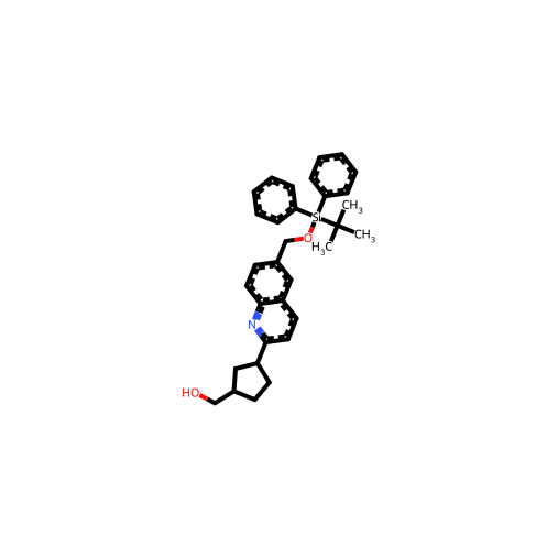 CC(C)(C)[Si](OCc1ccc2nc(C3CCC(CO)C3)ccc2c1)(c1ccccc1)c1ccccc1